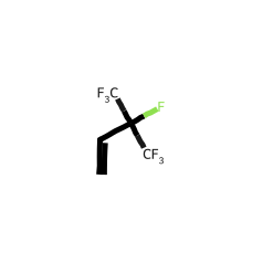 C=CC(F)(C(F)(F)F)C(F)(F)F